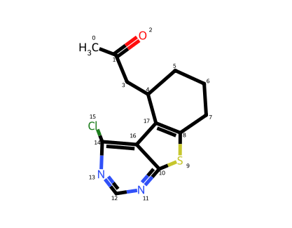 CC(=O)CC1CCCc2sc3ncnc(Cl)c3c21